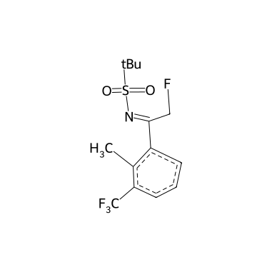 Cc1c(C(CF)=NS(=O)(=O)C(C)(C)C)cccc1C(F)(F)F